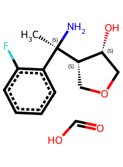 C[C@@](N)(c1ccccc1F)[C@H]1COC[C@H]1O.O=CO